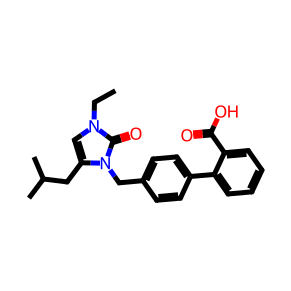 CCn1cc(CC(C)C)n(Cc2ccc(-c3ccccc3C(=O)O)cc2)c1=O